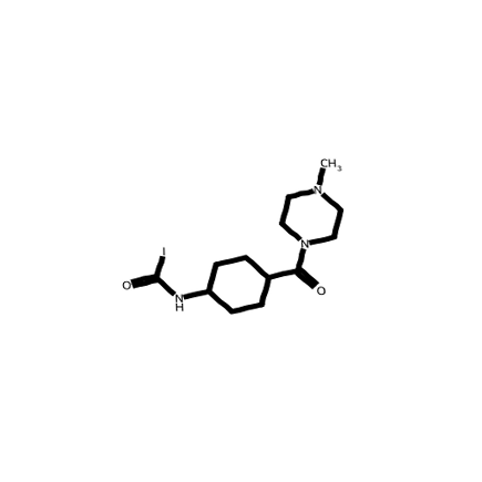 CN1CCN(C(=O)C2CCC(NC(=O)I)CC2)CC1